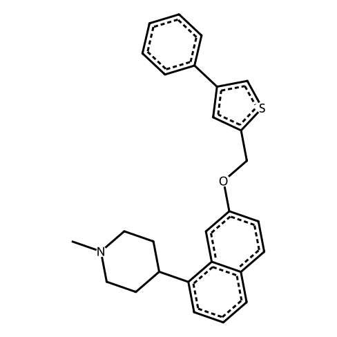 CN1CCC(c2cccc3ccc(OCc4cc(-c5ccccc5)cs4)cc23)CC1